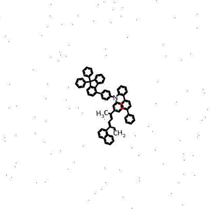 C=C/C(=C\C=C(/C)c1cccc(N(c2ccc(-c3cccc4c3-c3ccccc3C4(c3ccccc3)c3ccccc3)cc2)c2ccccc2-c2ccc(-c3ccccc3)cc2)c1)c1cccc2ccccc12